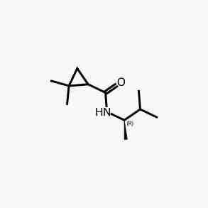 CC(C)[C@@H](C)NC(=O)C1CC1(C)C